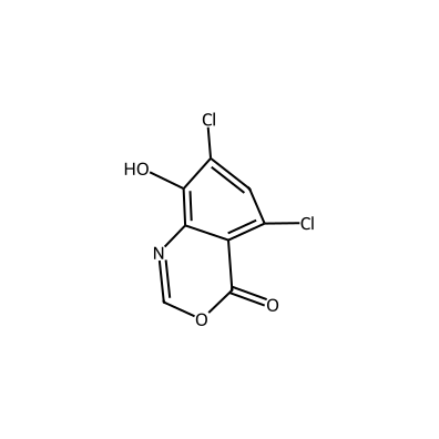 O=c1ocnc2c(O)c(Cl)cc(Cl)c12